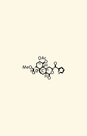 COC(=O)[C@@H]1C[C@H](OC(C)=O)C(=O)[C@H]2[C@@]1(C)CC[C@H]1C(=O)O[C@H](C(=O)c3cccs3)C[C@]21C